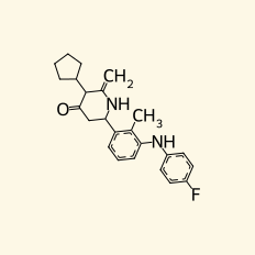 C=C1NC(c2cccc(Nc3ccc(F)cc3)c2C)CC(=O)C1C1CCCC1